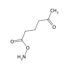 CC(=O)CCCC(=O)ON